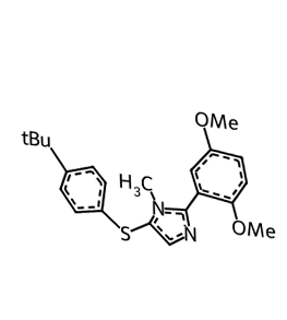 COc1ccc(OC)c(-c2ncc(Sc3ccc(C(C)(C)C)cc3)n2C)c1